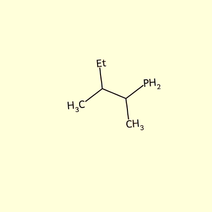 CCC(C)C(C)P